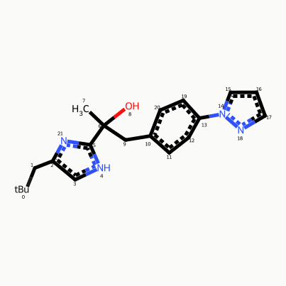 CC(C)(C)Cc1c[nH]c(C(C)(O)Cc2ccc(-n3cccn3)cc2)n1